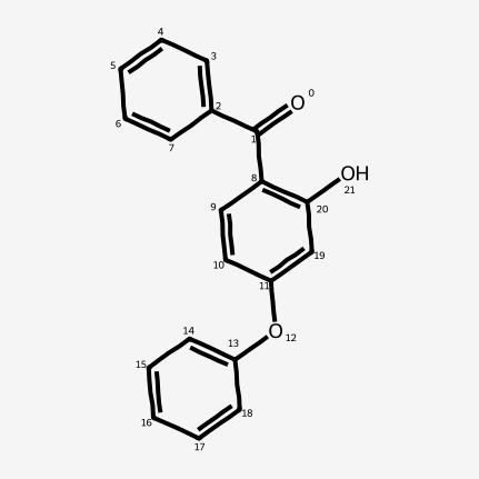 O=C(c1ccccc1)c1ccc(Oc2ccccc2)cc1O